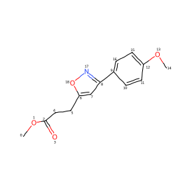 COC(=O)CCc1cc(-c2ccc(OC)cc2)no1